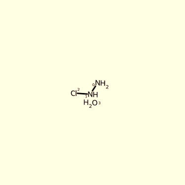 NNCl.O